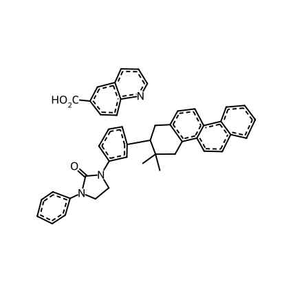 CC1(C)Cc2c(ccc3c2ccc2ccccc23)CC1c1cccc(N2CCN(c3ccccc3)C2=O)c1.O=C(O)c1ccc2ncccc2c1